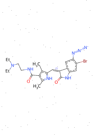 CCN(CC)CCNC(=O)c1c(C)[nH]c(/C=C2\C(=O)Nc3cc(Br)c(N=[N+]=[N-])cc32)c1C